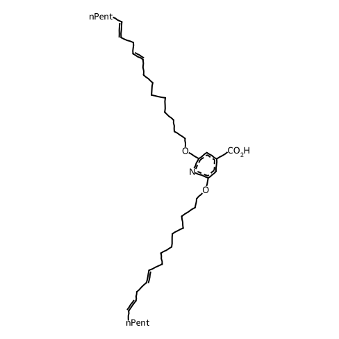 CCCCCC=CCC=CCCCCCCCCOc1cc(C(=O)O)cc(OCCCCCCCCC=CCC=CCCCCC)n1